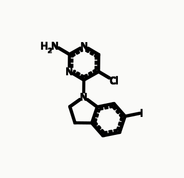 Nc1ncc(Cl)c(N2CCc3ccc(I)cc32)n1